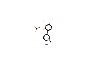 COc1ccc(-c2ccc3c(c2)CNC3=O)c(OC[C](C)C)c1OC